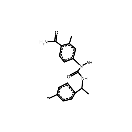 Cc1cc(N(S)C(=O)NC(C)c2ccc(F)cc2)ccc1C(N)=O